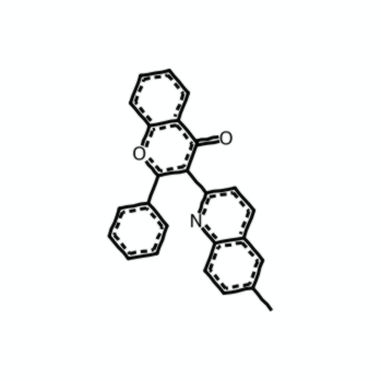 Cc1ccc2nc(-c3c(-c4ccccc4)oc4ccccc4c3=O)ccc2c1